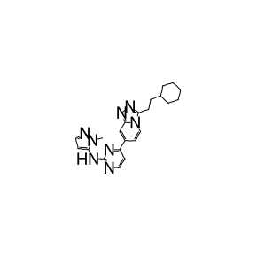 Cn1nccc1Nc1nccc(-c2ccn3c(CCC4CCCCC4)nnc3c2)n1